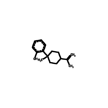 C=C(C)C1CCC(C)(c2ccccc2O)CC1